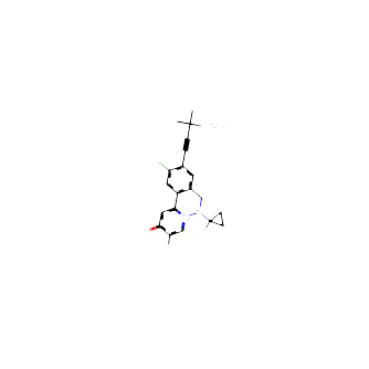 CCC1(N2Cc3cc(C#CC(C)(C)OC)c(Cl)cc3-c3cc(=O)c(C(=O)O)cn32)CC1